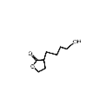 O=C1OCCC1CCCCO